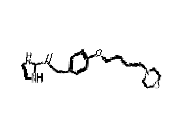 C1=CNC(NCc2ccc(OCCCCN3CCOCC3)cc2)N1